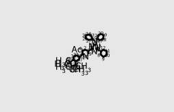 CC(=O)c1cc(-c2nc(-c3ccccc3)nc(N(c3ccccc3)c3ccccc3)n2)cnc1-c1ccc2c(c1)C(C)(C)C(C)(C)C2(C)C